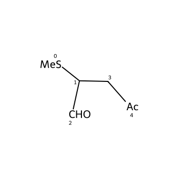 CSC(C=O)CC(C)=O